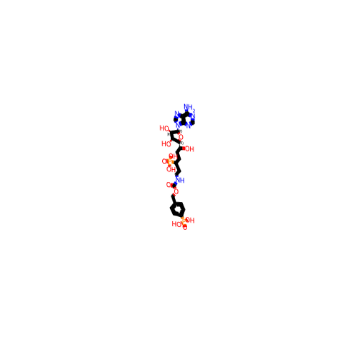 Nc1ncnc2c1ncn2[C@@H]1O[C@H](C(O)CCC(CCNC(=O)OCc2ccc(P(=O)(O)O)cc2)P(=O)(O)O)[C@@H](O)[C@H]1O